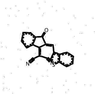 N#CC(C#N)=C1/C(=C\c2csc3ccccc23)C(=O)c2ccccc21